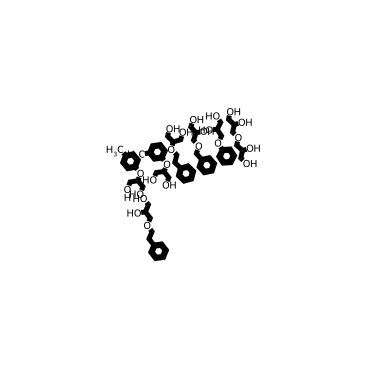 Cc1ccc(OC(CO)CO)cc1.Cc1cccc(OC(CO)CO)c1.OCC(CO)OCCc1ccccc1.OCC(O)COCC(O)CO.OCC(O)COCCc1ccccc1.OCC(O)COCc1ccccc1.OCC(O)COc1ccccc1